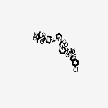 Cc1noc(C)c1S(=O)(=O)N1CCN(C[C@@H]2CCCN2C(=O)CN2CCC[C@H](NS(=O)(=O)c3cc4cc(Cl)ccc4s3)C2=O)CC1